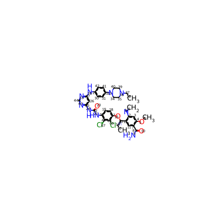 C=Nc1cc(OC)c(C(N)=O)cc1/C(=C\C)Oc1ccc(NC(=O)Nc2cc(Nc3ccc(N4CCN(CC)CC4)cc3)ncn2)c(Cl)c1Cl